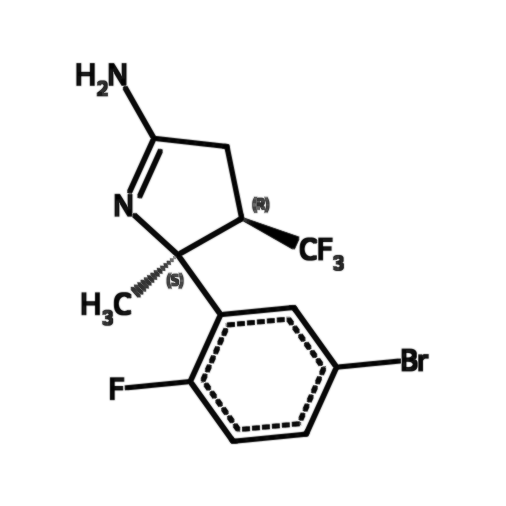 C[C@]1(c2cc(Br)ccc2F)N=C(N)C[C@H]1C(F)(F)F